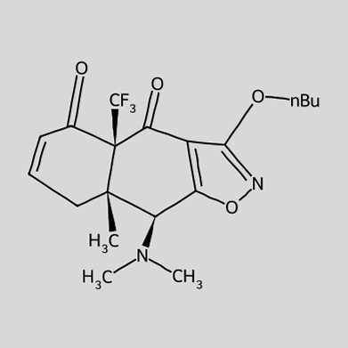 CCCCOc1noc2c1C(=O)[C@@]1(C(F)(F)F)C(=O)C=CC[C@@]1(C)[C@@H]2N(C)C